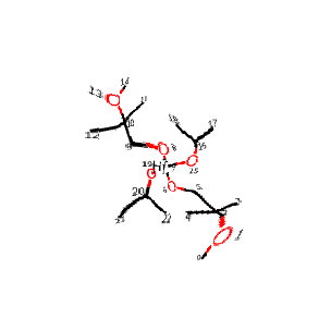 COC(C)(C)C[O][Hf]([O]CC(C)(C)OC)([O]C(C)C)[O]C(C)C